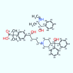 CC(C)(C(=O)O)c1ccc(C(O)CCCN2CCC(C(O)(c3ccccc3)c3ccccc3)CC2)cc1.CN[C@@H](C)[C@@H](O)c1ccccc1